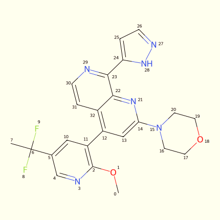 COc1ncc(C(C)(F)F)cc1-c1cc(N2CCOCC2)nc2c(-c3ccn[nH]3)nccc12